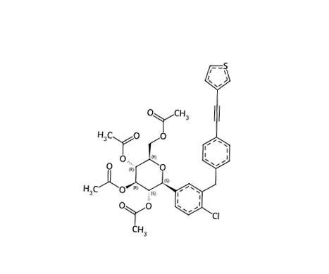 CC(=O)OC[C@H]1O[C@@H](c2ccc(Cl)c(Cc3ccc(C#Cc4ccsc4)cc3)c2)[C@H](OC(C)=O)[C@@H](OC(C)=O)[C@@H]1OC(C)=O